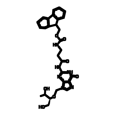 CC(O)[C@@H](CO)OCn1cnc2c(=O)[nH]c(NC(=O)CCNC(=O)OCC3c4ccccc4-c4ccccc43)nc21